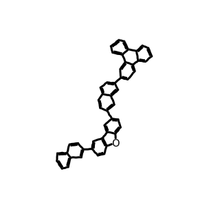 c1ccc2cc(-c3ccc4oc5ccc(-c6ccc7ccc(-c8ccc9c%10ccccc%10c%10ccccc%10c9c8)cc7c6)cc5c4c3)ccc2c1